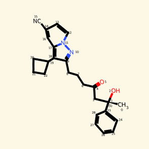 C[C@](O)(CC(=O)CCCc1nn2ccc(C#N)cc2c1C1CCC1)c1ccccc1